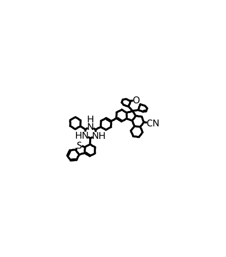 N#CC1CC2C(C3C=C(C4=CCC(C5NC(C6CCCCC6)NC(C6CCC=C7C8C=CC=CC8SC76)N5)CC4)CCC3C23C2C=CCCC2OC2CCCCC23)C2CCCCC12